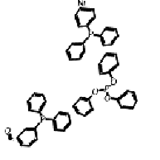 [C]=O.[Ni].c1ccc(OP(Oc2ccccc2)Oc2ccccc2)cc1.c1ccc(P(c2ccccc2)c2ccccc2)cc1.c1ccc(P(c2ccccc2)c2ccccc2)cc1